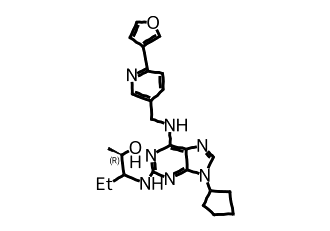 CCC(Nc1nc(NCc2ccc(-c3ccoc3)nc2)c2ncn(C3CCCC3)c2n1)[C@@H](C)O